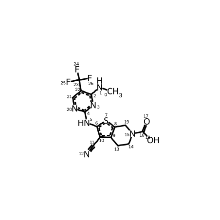 CNc1nc(Nc2sc3c(c2C#N)CCN(C(=O)O)C3)ncc1C(F)(F)F